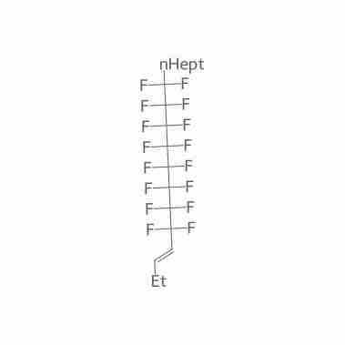 CC/C=C/C(F)(F)C(F)(F)C(F)(F)C(F)(F)C(F)(F)C(F)(F)C(F)(F)C(F)(F)CCCCCCC